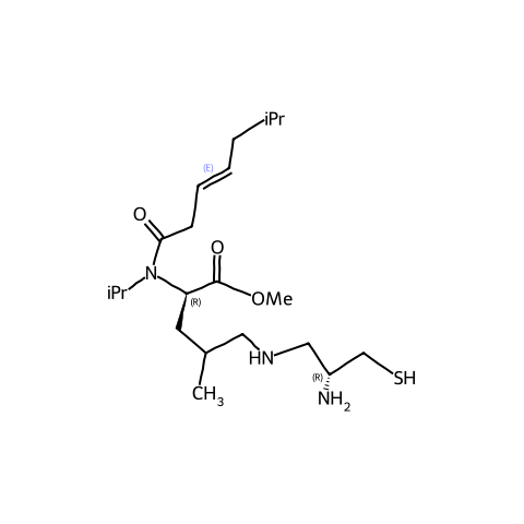 COC(=O)[C@@H](CC(C)CNC[C@@H](N)CS)N(C(=O)C/C=C/CC(C)C)C(C)C